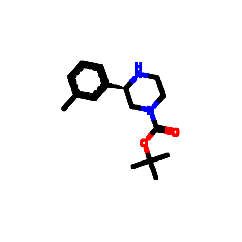 Cc1cccc([C@H]2CN(C(=O)OC(C)(C)C)CCN2)c1